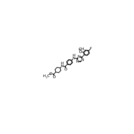 COC(=O)C1CCC(NC(=O)c2ccc(Nc3ncnc(-c4ccc(F)cc4OC)n3)cc2)CC1